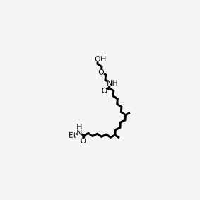 CCNC(=O)CCCCCCC(C)CCCCC(C)CCCCCCC(=O)NCCOCCO